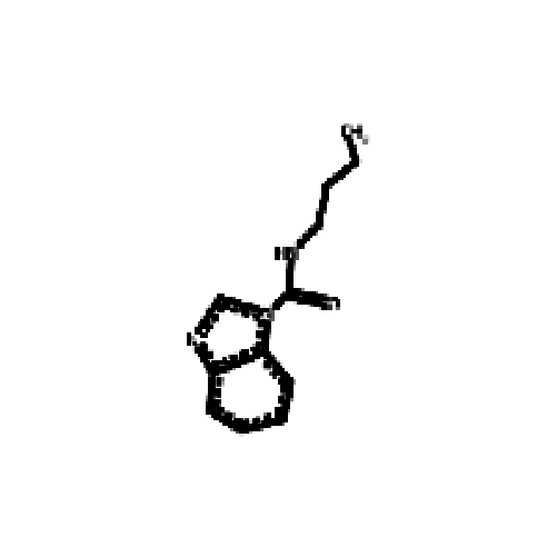 CCCCNC(=O)n1cnc2ccccc21